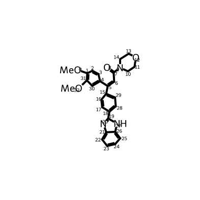 COc1ccc(C(=CC(=O)N2CCOCC2)c2ccc(-c3nc4ccccc4[nH]3)cc2)cc1OC